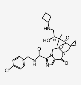 CC(C)([C@@H](O)CNC1CCC1)S(=O)(=O)C1(CN2CCn3c(cnc3C(=O)NCc3ccc(Cl)cc3)C2=O)CC1